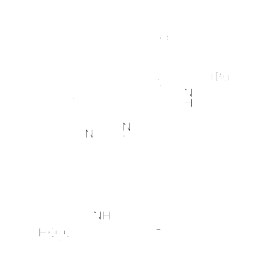 CC(C)(C)NC(=O)c1ccnn1CC(=CF)CNC(=O)O